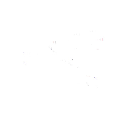 O=c1c(O)c(-c2cc(O)c(O)c(O)c2)oc2c(N=Nc3ccc(S(=O)(=O)Nc4nccs4)cc3)c(O)c(N=Nc3ccc(S(=O)(=O)Nc4nccs4)cc3)c(O)c12